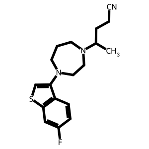 CC(CCC#N)N1CCCN(c2csc3cc(F)ccc23)CC1